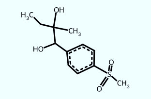 CCC(C)(O)C(O)c1ccc(S(C)(=O)=O)cc1